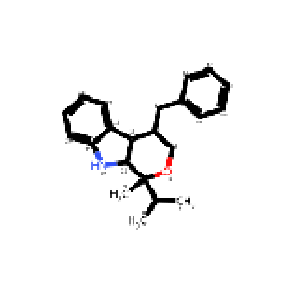 CC(C)C1(C)OCC(Cc2ccccc2)C2c3ccccc3NC21